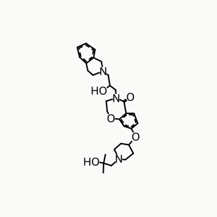 CC(C)(O)CN1CCC(Oc2ccc3c(c2)OCCN(CC(O)CN2CCc4ccccc4C2)C3=O)CC1